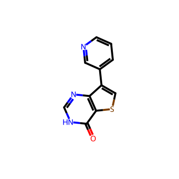 O=c1[nH]cnc2c(-c3cccnc3)csc12